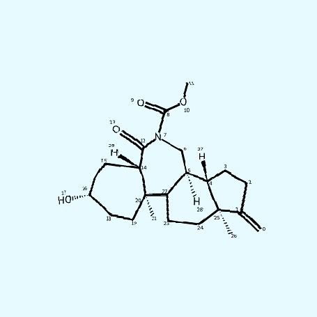 C=C1CC[C@H]2[C@@H]3CN(C(=O)OC)C(=O)[C@H]4C[C@@H](O)CC[C@]4(C)C3CC[C@]12C